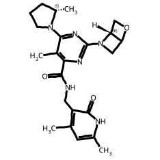 Cc1cc(C)c(CNC(=O)c2nc(N3CC4OC[C@H]43)nc(N3CCC[C@@H]3C)c2C)c(=O)[nH]1